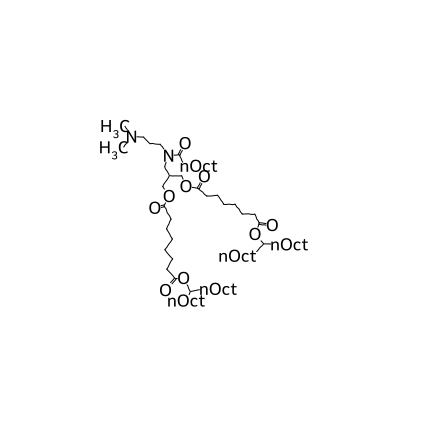 CCCCCCCCC(=O)N(CCCN(C)C)CC(COC(=O)CCCCCCC(=O)OC(CCCCCCCC)CCCCCCCC)COC(=O)CCCCCCC(=O)OC(CCCCCCCC)CCCCCCCC